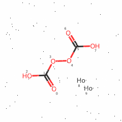 O=C(O)OOC(=O)O.[Ho].[Ho]